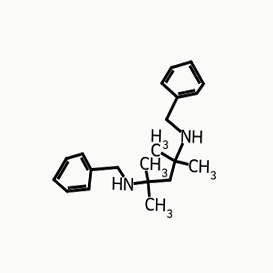 CC(C)(CC(C)(C)NCc1ccccc1)NCc1ccccc1